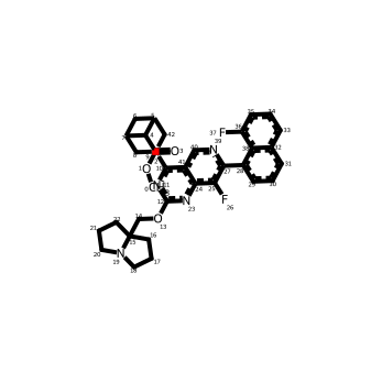 COC(=O)C1C2CC1CN(c1nc(OCC34CCCN3CCC4)nc3c(F)c(-c4cccc5cccc(F)c45)ncc13)C2